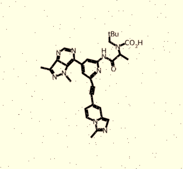 Cc1nn(C)c2c(-c3cc(C#Cc4ccn5c(C)ncc5c4)nc(NC(=O)C(C)N(CC(C)(C)C)C(=O)O)c3)ncnc12